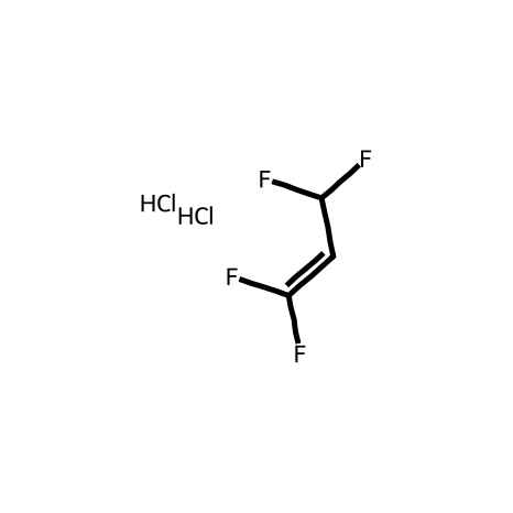 Cl.Cl.FC(F)=CC(F)F